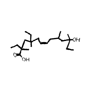 CCC(C)(O)CC(C)C/C=C\CC(C)(CC)CC(C)(CC)C(=O)O